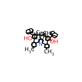 Cc1ccc(-c2cc(C(C)(C)C)cc(C34CC5CC(CC(C5)C3)C4)c2O)c(-c2cccc(-c3cc(C)ccc3-c3cc(C(C)(C)C)cc(C45CC6CC(CC(C6)C4)C5)c3O)n2)c1